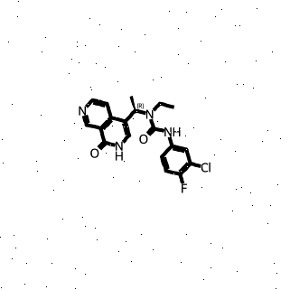 CCN(C(=O)Nc1ccc(F)c(Cl)c1)[C@H](C)c1c[nH]c(=O)c2cnccc12